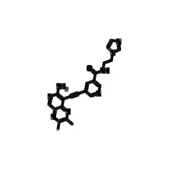 Cc1nc2cnc(N)c(C#Cc3cncc(C(=O)NCCn4ccnc4)c3)c2nc1C